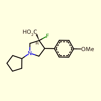 COc1ccc(C2CN(C3CCCC3)C[C@@]2(F)C(=O)O)cc1